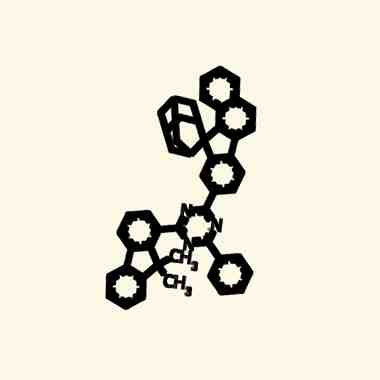 CC1(C)c2ccccc2-c2cccc(-c3nc(-c4ccccc4)nc(-c4ccc5c(c4)C4(c6c-5ccc5ccccc65)C5CC6CC(C5)CC4C6)n3)c21